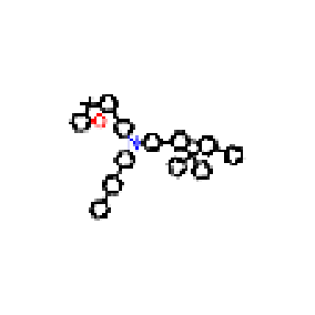 CC1(C)c2ccccc2Oc2c(-c3ccc(N(c4ccc(-c5ccc(-c6ccccc6)cc5)cc4)c4ccc(-c5ccc6c(c5)C(c5ccccc5)(c5ccccc5)c5cc(-c7ccccc7)ccc5-6)cc4)cc3)cccc21